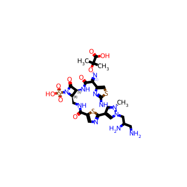 CN1CC(c2ncc(C(=O)NC[C@@H]3[C@H](NC(=O)/C(=N\OC(C)(C)C(=O)O)c4csc(N)n4)C(=O)N3S(=O)(=O)O)s2)=CN1CC(N)CN